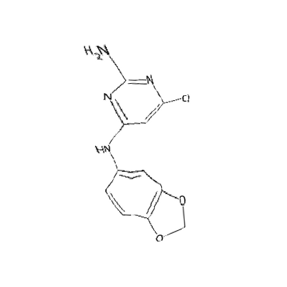 Nc1nc(Cl)cc(Nc2ccc3c(c2)OCO3)n1